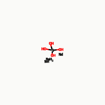 [BaH2].[Nd].[OH][Ti]([OH])([OH])[OH].[Sm]